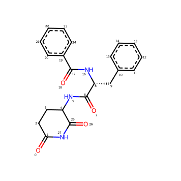 O=C1CCC(NC(=O)[C@@H](Cc2ccccc2)NC(=O)c2ccccc2)C(=O)N1